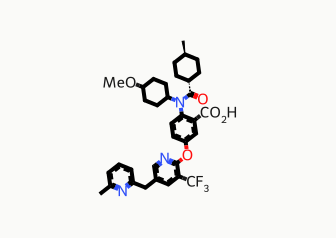 COC1CCC(N(c2ccc(Oc3ncc(Cc4cccc(C)n4)cc3C(F)(F)F)cc2C(=O)O)C(=O)[C@H]2CC[C@H](C)CC2)CC1